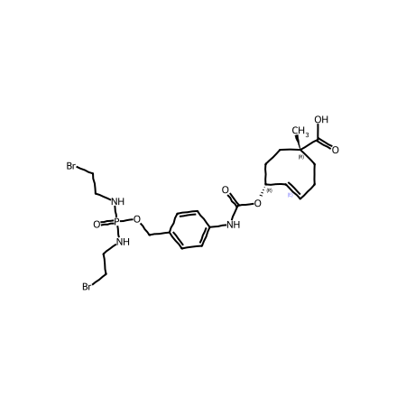 C[C@@]1(C(=O)O)CC/C=C/[C@H](OC(=O)Nc2ccc(COP(=O)(NCCBr)NCCBr)cc2)CC1